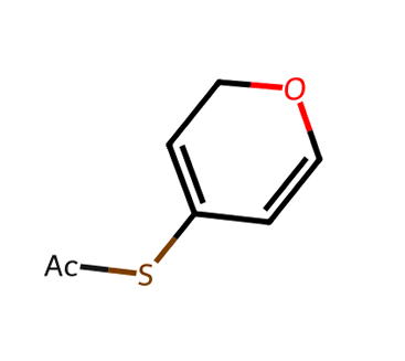 CC(=O)SC1=CCOC=C1